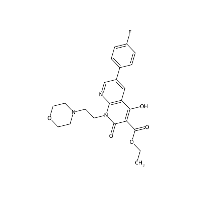 CCOC(=O)c1c(O)c2cc(-c3ccc(F)cc3)cnc2n(CCN2CCOCC2)c1=O